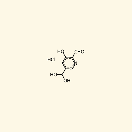 Cl.O=Cc1ncc(C(O)O)cc1O